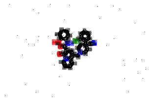 N#CC1(c2ccccc2Br)CCN(Cc2cc(C(=O)NC3CCCCC3O)c(=O)n3ccccc23)CC1